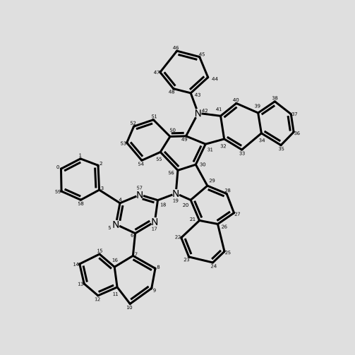 c1ccc(-c2nc(-c3cccc4ccccc34)nc(-n3c4c5ccccc5ccc4c4c5c6cc7ccccc7cc6n(-c6ccccc6)c5c5ccccc5c43)n2)cc1